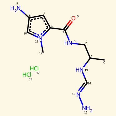 CC(CNC(=O)c1cc(N)cn1C)NC=NN.Cl.Cl